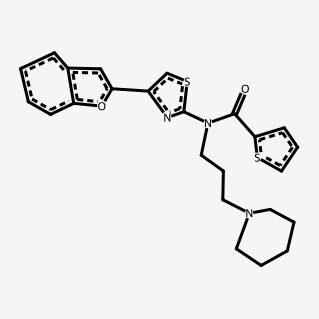 O=C(c1cccs1)N(CCCN1CCCCC1)c1nc(-c2cc3ccccc3o2)cs1